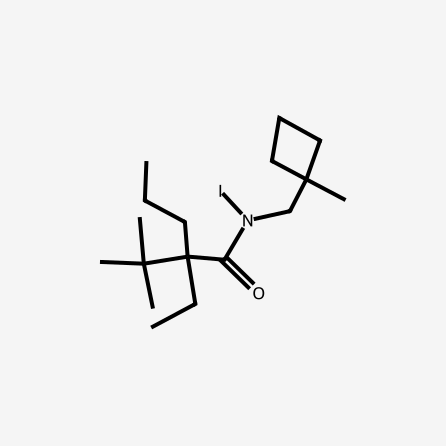 CCCC(CC)(C(=O)N(I)CC1(C)CCC1)C(C)(C)C